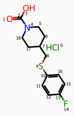 Cl.O=C(O)N1CCC(CSc2ccc(F)cc2)CC1